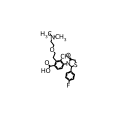 Cc1c(N2C(=O)CSC2c2ccc(F)cc2)ccc(C(=O)O)c1CCOCCN(C)C